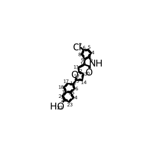 O=C1Nc2ccc(Cl)cc2/C1=C/c1ccc(-c2ccc3cc(O)ccc3c2)o1